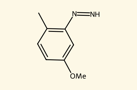 COc1ccc(C)c(N=N)c1